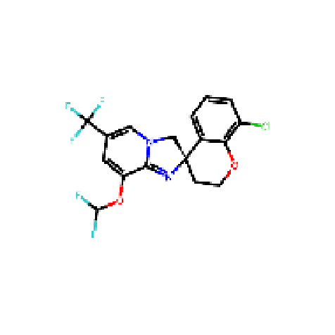 FC(F)OC1=CC(C(F)(F)F)=CN2C[C@@]3(CCOc4c(Cl)cccc43)N=C12